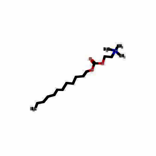 CCCCCCCCCCCCOC(=O)OCC[N+](C)(C)C